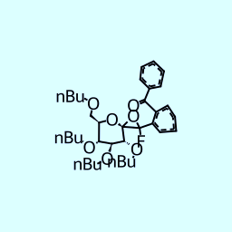 CCCCOC[C@H]1O[C@]2(OC2(F)c2ccccc2C(=O)c2ccccc2)[C@H](OCCCC)[C@@H](OCCCC)[C@@H]1OCCCC